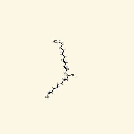 CC/C=C/C/C=C/C/C=C/C(C/C=C/C=C/C/C=C/CCC(=O)O)[N+](=O)[O-]